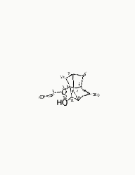 C=COC12CC3CC(CC(C3)C1O)C2